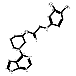 Cc1ccc(NCC(=O)NC2CCCN(c3ncnc4[nH]ccc34)C2)cc1C(F)(F)F